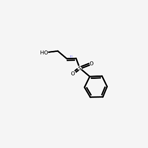 O=S(=O)(/C=C/CO)c1ccccc1